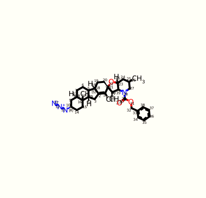 CC1=C2C[C@H]3C(CC[C@@H]4C[C@H](N=[N+]=[N-])CCC43C)[C@@H]2CC[C@]12O[C@@H]1CC(C)CN(C(=O)OCc3ccccc3)C1[C@H]2C